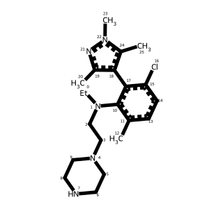 CCN(CCN1CCNCC1)c1c(C)ccc(Cl)c1-c1c(C)nn(C)c1C